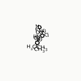 CC(C)(C)c1ccc(S(=O)(=O)Nc2ccc(Cl)c3c2C(=O)N(c2cccnc2F)C3=O)cc1